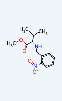 COC(=O)[C@@H](NCc1ccccc1[N+](=O)[O-])C(C)C